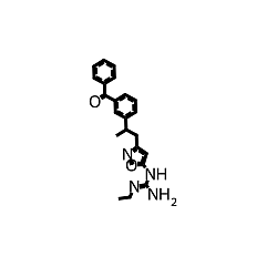 CCN=C(N)Nc1cc(CC(C)c2cccc(C(=O)c3ccccc3)c2)no1